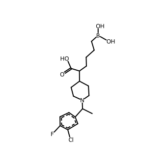 CC(c1ccc(F)c(Cl)c1)N1CCC(C(CCCCB(O)O)C(=O)O)CC1